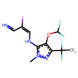 Cn1nc(C(F)(F)C(F)(F)F)c(OC(F)F)c1N/C=C(/I)C=N